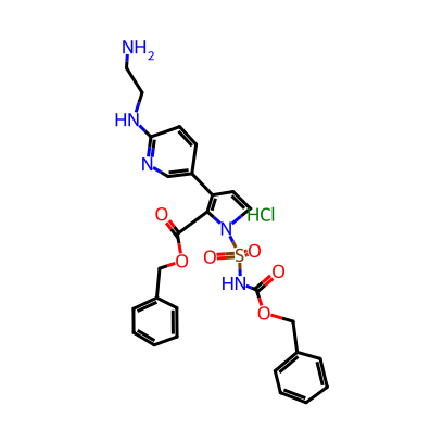 Cl.NCCNc1ccc(-c2ccn(S(=O)(=O)NC(=O)OCc3ccccc3)c2C(=O)OCc2ccccc2)cn1